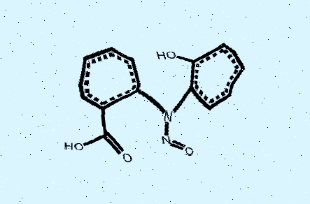 O=NN(c1ccccc1O)c1ccccc1C(=O)O